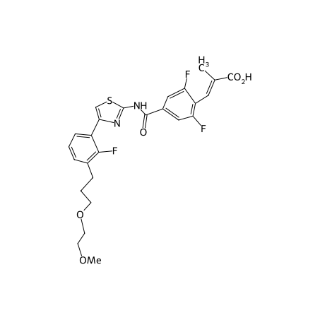 COCCOCCCc1cccc(-c2csc(NC(=O)c3cc(F)c(C=C(C)C(=O)O)c(F)c3)n2)c1F